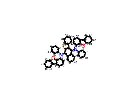 c1ccc(N(c2cccc3c2oc2ccccc23)c2c3ccccc3c(N(c3ccccc3)c3cccc4c3oc3ccccc34)c3c2sc2ccccc23)cc1